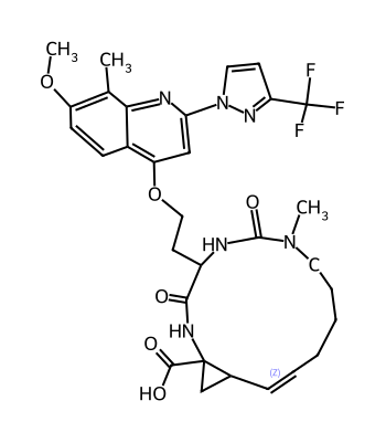 COc1ccc2c(OCCC3NC(=O)N(C)CCCC/C=C\C4CC4(C(=O)O)NC3=O)cc(-n3ccc(C(F)(F)F)n3)nc2c1C